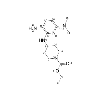 CCOC(=O)N1CCC(Nc2nc(N(C)C)ccc2N)CC1